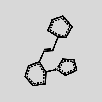 C(=Cc1ccccc1-n1cccc1)c1ccccc1